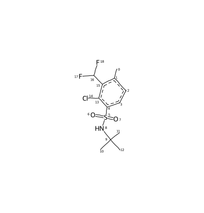 Cc1ccc(S(=O)(=O)NC(C)(C)C)c(Cl)c1C(F)F